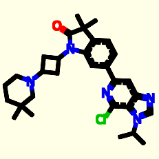 CC(C)n1cnc2cc(-c3ccc4c(c3)N(C3CC(N5CCCC(C)(C)C5)C3)C(=O)C4(C)C)nc(Cl)c21